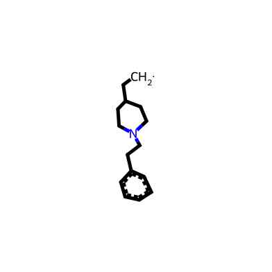 [CH2]CC1CCN(CCc2ccccc2)CC1